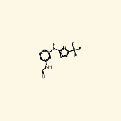 O=CNc1cccc(Nc2nc(C(F)(F)F)cs2)c1